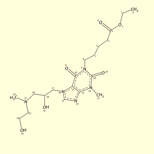 CCOC(=O)CCCCn1c(=O)c2c(ncn2CC(O)CN(C)CCO)n(C)c1=O